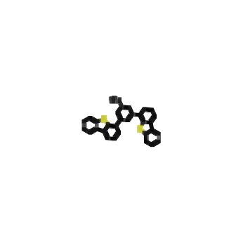 CC(C)(C)c1cc(-c2cccc3c2sc2ccccc23)cc(-c2cccc3c2sc2ccccc23)c1